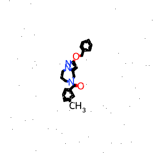 Cc1cccc(C(=O)N2CCCn3nc(OCc4ccccc4)cc3C2)c1